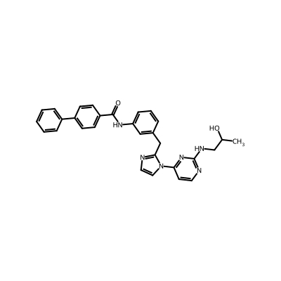 CC(O)CNc1nccc(-n2ccnc2Cc2cccc(NC(=O)c3ccc(-c4ccccc4)cc3)c2)n1